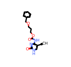 C#Cc1c[nH]c(=O)nc1NC(=O)OCCCOCc1ccccc1